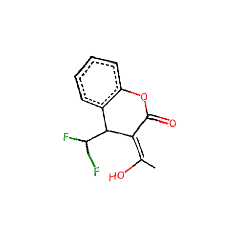 C/C(O)=C1\C(=O)Oc2ccccc2C1C(F)F